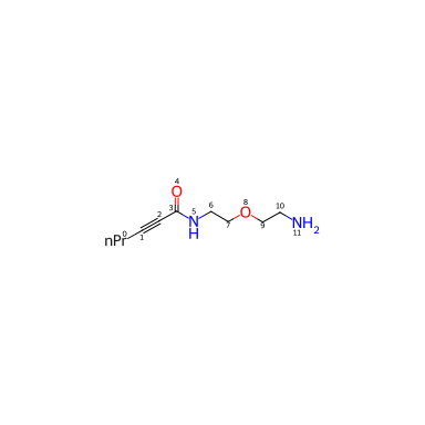 CCCC#CC(=O)NCCOCCN